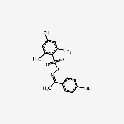 CCC(C)c1ccc(/C(C)=N\OS(=O)(=O)c2c(C)cc(C)cc2C)cc1